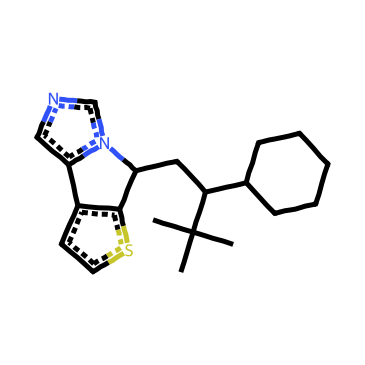 CC(C)(C)C(CC1c2sccc2-c2cncn21)C1CCCCC1